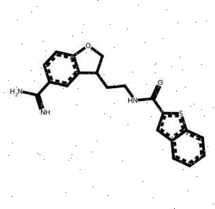 N=C(N)c1ccc2c(c1)C(CCNC(=O)c1cc3ccccc3s1)CO2